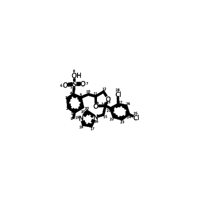 Cc1ccc(S(=O)(=O)O)c(CC2COC(Cn3ccnc3)(c3ccc(Cl)cc3Cl)O2)c1